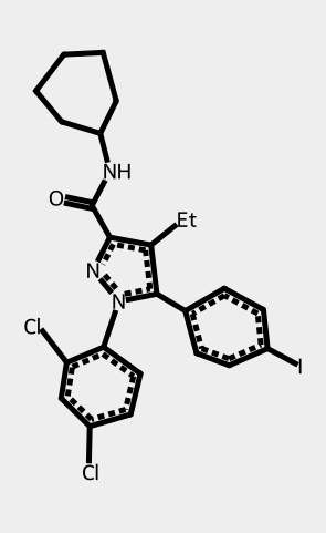 CCc1c(C(=O)NC2CCCCC2)nn(-c2ccc(Cl)cc2Cl)c1-c1ccc(I)cc1